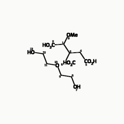 COC(C(=O)O)C(CC(=O)O)C(=O)O.OCCOCCO